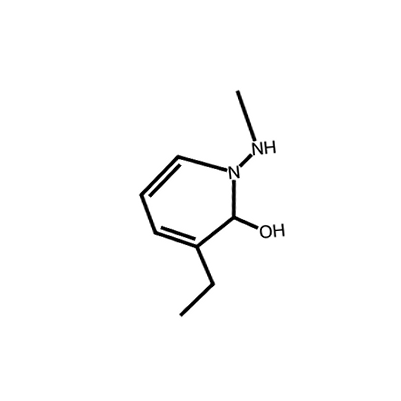 CCC1=CC=CN(NC)C1O